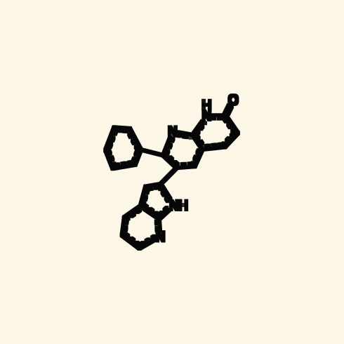 O=c1ccc2cc(-c3cc4cccnc4[nH]3)c(-c3ccccc3)nc2[nH]1